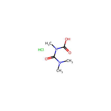 CN(C)C(=O)N(C)C(=O)O.Cl